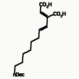 CCCCCCCCCCCCCCCCC=CC(=CC(=O)O)C(=O)O